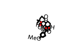 C=C1C(=O)[C@]23[C@H](OC(=O)c4ccc(OC)cc4)[C@H]1CC[C@H]2[C@@]12CO[C@]3(O)[C@@H](O)[C@@H]1C(C)(C)CCC2=O